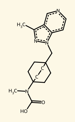 Cc1nn(CC23CCC(N(C)C(=O)O)(CC2)CC3)c2ccncc12